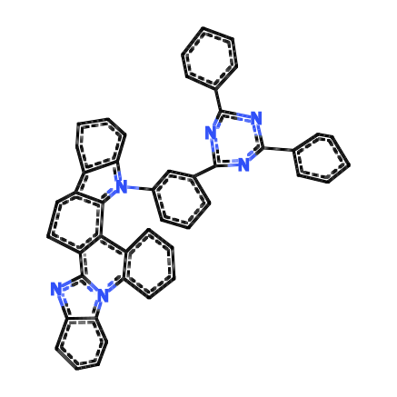 c1ccc(-c2nc(-c3ccccc3)nc(-c3cccc(-n4c5ccccc5c5ccc6c(c7ccccc7n7c8ccccc8nc67)c54)c3)n2)cc1